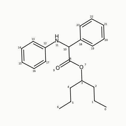 CCCC(CCC)OC(=O)C(Nc1ccccc1)c1ccccc1